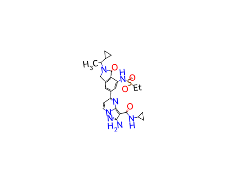 CCS(=O)(=O)Nc1cc(-c2ccn3nc(N)c(C(=O)NC4CC4)c3n2)cc2c1C(=O)N(C(C)C1CC1)C2